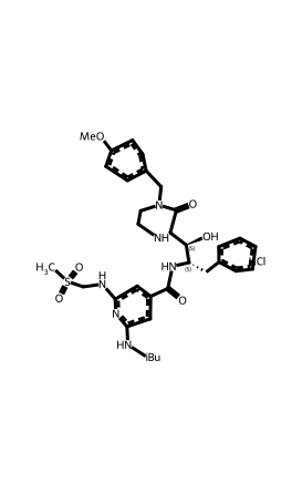 CCC(C)Nc1cc(C(=O)N[C@@H](Cc2ccccc2)[C@H](O)C2NCCN(Cc3ccc(OC)cc3)C2=O)cc(NCS(C)(=O)=O)n1.Cl